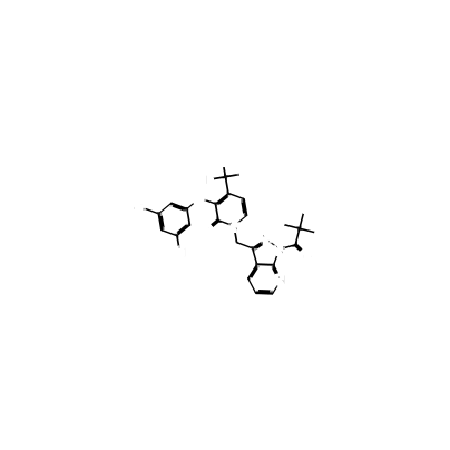 CC(C)(C)C(=O)n1nc(Cn2ccc(C(F)(F)F)c(Oc3cc(Cl)cc(Cl)c3)c2=O)c2cccnc21